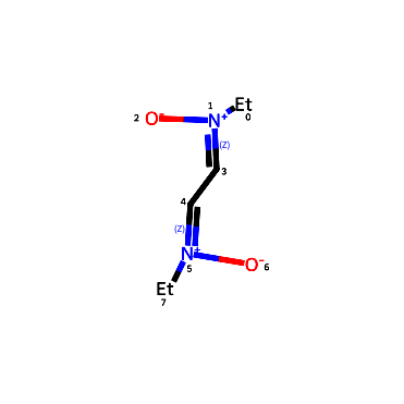 CC/[N+]([O-])=C/C=[N+](\[O-])CC